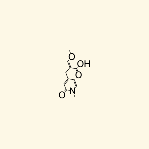 COC=C(Cc1ccn(C)c(=O)c1)C(=O)O